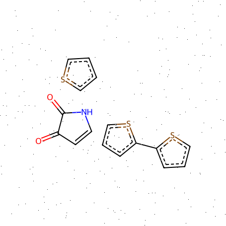 O=C1C=CNC1=O.c1ccsc1.c1csc(-c2cccs2)c1